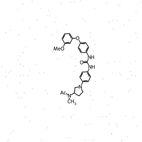 COc1cccc(Oc2ccc(NC(=O)Nc3ccc(N4CCC(N(C)C(C)=O)C4)cc3)cc2)c1